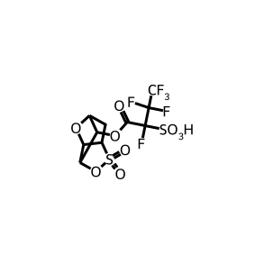 O=C(OC1C2CC3C(O2)C1OS3(=O)=O)C(F)(C(F)(F)C(F)(F)F)S(=O)(=O)O